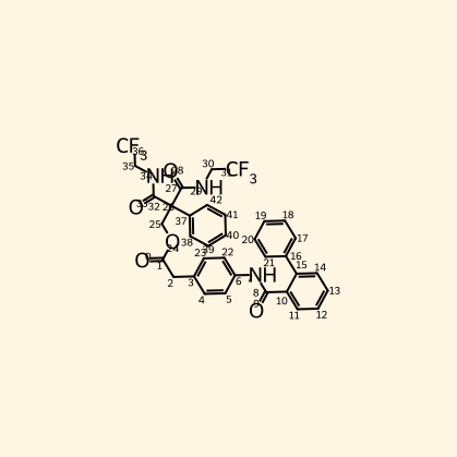 O=C(Cc1ccc(NC(=O)c2ccccc2-c2ccccc2)cc1)OCC(C(=O)NCC(F)(F)F)(C(=O)NCC(F)(F)F)c1ccccc1